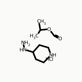 CC(C)OC=O.Cl.NNC1CCNCC1